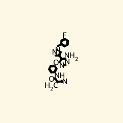 C=C(C#N)C(=O)Nc1cccc(Oc2ncnc(N)c2-c2cnn(Cc3cccc(F)c3)c2)c1